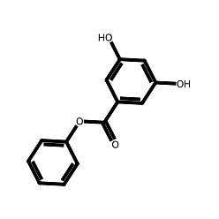 O=C(Oc1ccccc1)c1cc(O)cc(O)c1